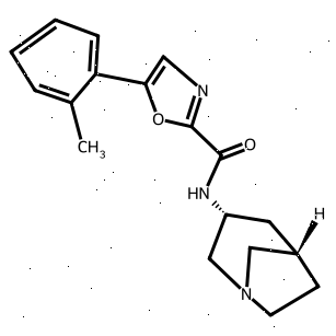 Cc1ccccc1-c1cnc(C(=O)N[C@@H]2C[C@@H]3CCN(C3)C2)o1